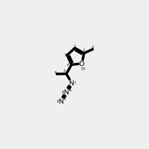 Cc1ccc(C(C)N=[N+]=[N-])o1